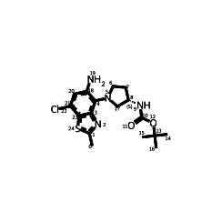 Cc1nc2c(N3CC[C@H](NC(=O)OC(C)(C)C)C3)c(N)cc(Cl)c2s1